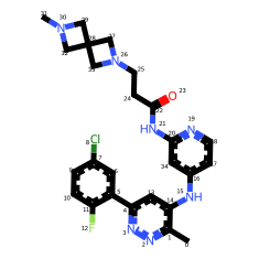 Cc1nnc(-c2cc(Cl)ccc2F)cc1Nc1ccnc(NC(=O)CCN2CC3(CN(C)C3)C2)c1